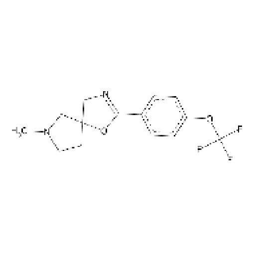 CN1CCC2(CN=C(c3ccc(OC(F)(F)F)cc3)O2)C1